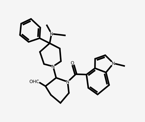 CN(C)C1(c2ccccc2)CCN(C2C(C=O)CCCN2C(=O)c2cccc3c2ccn3C)CC1